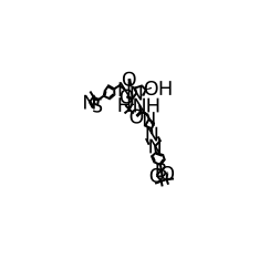 Cc1ncsc1-c1ccc(CNC(=O)[C@@H]2C[C@@H](O)CN2C(=O)[C@@H](NC(=O)CN2CC(N3CCN(c4ccc(B5OC(C)(C)C(C)(C)O5)cc4)CC3)C2)C(C)(C)C)cc1